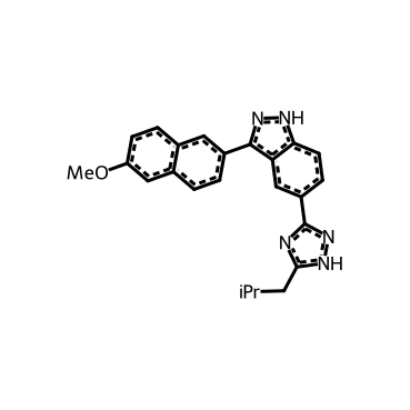 COc1ccc2cc(-c3n[nH]c4ccc(-c5n[nH]c(CC(C)C)n5)cc34)ccc2c1